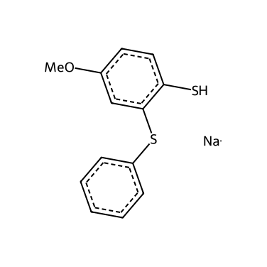 COc1ccc(S)c(Sc2ccccc2)c1.[Na]